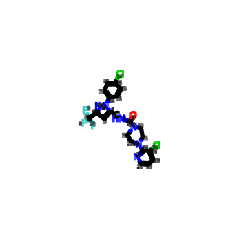 O=C(NCc1cc(C(F)(F)F)nn1-c1ccc(Cl)cc1)N1CCN(c2ncccc2Cl)CC1